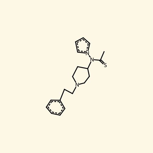 CC(=S)N(C1CCN(CCc2ccccc2)CC1)n1cccc1